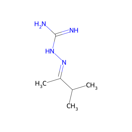 C/C(=N\NC(=N)N)C(C)C